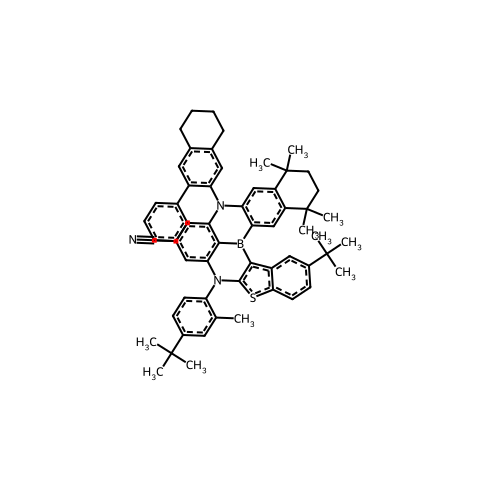 Cc1cc(C(C)(C)C)ccc1N1c2cc(C#N)cc3c2B(c2cc4c(cc2N3c2cc3c(cc2-c2ccccc2)CCCC3)C(C)(C)CCC4(C)C)c2c1sc1ccc(C(C)(C)C)cc21